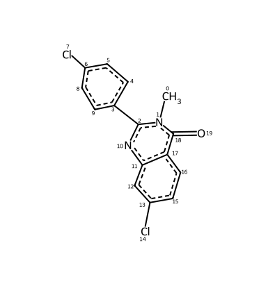 Cn1c(-c2ccc(Cl)cc2)nc2cc(Cl)ccc2c1=O